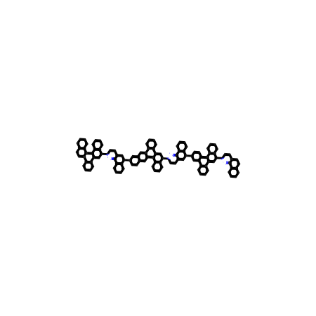 c1ccc2c(c1)ccc1ccc(-c3cc4c5ccccc5c5cc(-c6cc7ccc(-c8cc9c%10ccccc%10c%10cc%11cc(-c%12cc%13ccc(-c%14cc%15c%16ccccc%16c%16ccc%17ccccc%17c%16c%15c%15ccccc%14%15)nc%13c%13ccccc%12%13)ccc%11cc%10c9c9ccccc89)nc7c7ccccc67)ccc5c4c4ccccc34)nc12